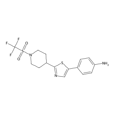 Nc1ccc(-c2cnc(C3CCN(S(=O)(=O)C(F)(F)F)CC3)s2)cc1